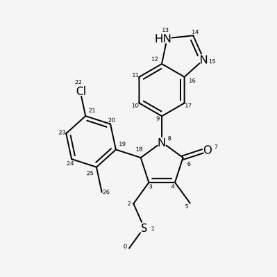 CSCC1=C(C)C(=O)N(c2ccc3[nH]cnc3c2)C1c1cc(Cl)ccc1C